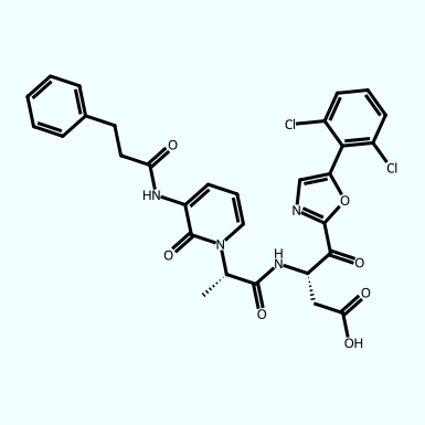 C[C@@H](C(=O)N[C@@H](CC(=O)O)C(=O)c1ncc(-c2c(Cl)cccc2Cl)o1)n1cccc(NC(=O)CCc2ccccc2)c1=O